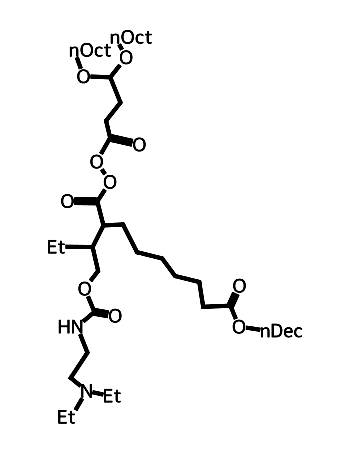 CCCCCCCCCCOC(=O)CCCCCCC(C(=O)OOC(=O)CCC(OCCCCCCCC)OCCCCCCCC)C(CC)COC(=O)NCCN(CC)CC